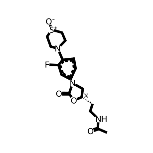 CC(=O)NCC[C@H]1CN(c2ccc(N3CC[S+]([O-])CC3)c(F)c2)C(=O)O1